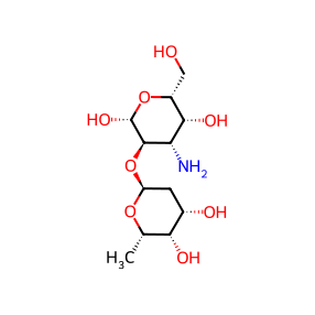 C[C@@H]1O[C@@H](O[C@@H]2[C@@H](N)[C@@H](O)[C@@H](CO)O[C@H]2O)C[C@H](O)[C@@H]1O